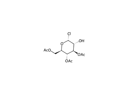 CC(=O)OC[C@H]1O[C@H](Cl)[C@H](O)[C@@H](OC(C)=O)[C@@H]1OC(C)=O